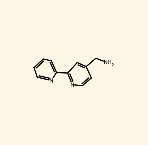 NCc1ccnc(-c2ccccn2)c1